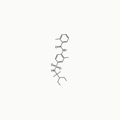 CCC(CC)C(C)(C)NS(=O)(=O)c1ccc(NC(=O)c2ccccc2C)c(C)c1